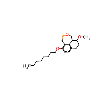 CCCCCCCCOc1ccc2c3c1C=POCC3C(OC)CC2